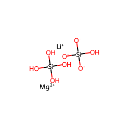 O[Si](O)(O)O.[Li+].[Mg+2].[O-][Si]([O-])([O-])O